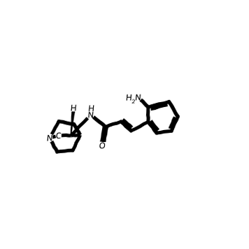 Nc1ccccc1C=CC(=O)N[C@H]1CN2CCC1CC2